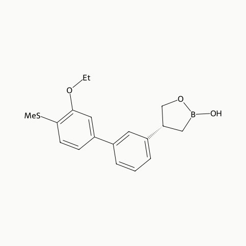 CCOc1cc(-c2cccc([C@@H]3COB(O)C3)c2)ccc1SC